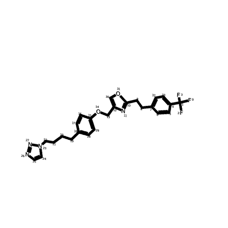 FC(F)(F)c1ccc(CCc2nc(COc3ccc(CCCCn4ccnn4)cc3)co2)cc1